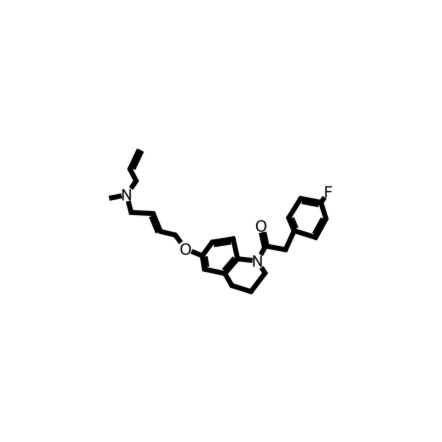 C=CCN(C)C/C=C/COc1ccc2c(c1)CCCN2C(=O)Cc1ccc(F)cc1